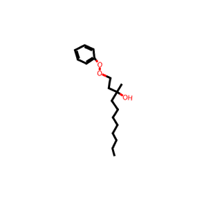 CCCCCCCCC(C)(O)CCOOc1ccccc1